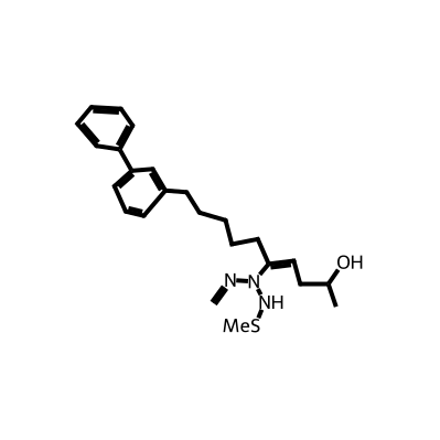 C=NN(NSC)/C(=C\CC(C)O)CCCCCc1cccc(-c2ccccc2)c1